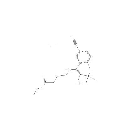 CCOC(=O)CCCNC1=C(O)C(C)(C)Oc2ccc(C#N)cc21.Cl